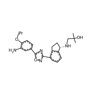 CC(C)Oc1ccc(-c2nc(-c3cccc4c3CC[C@@H]4NCC(C)(C)O)no2)cc1N